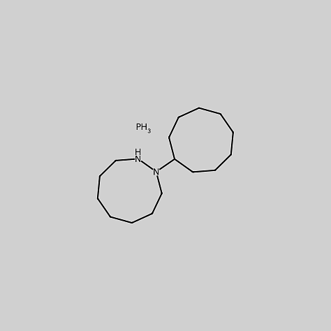 C1CCCCC(N2CCCCCCCN2)CCC1.P